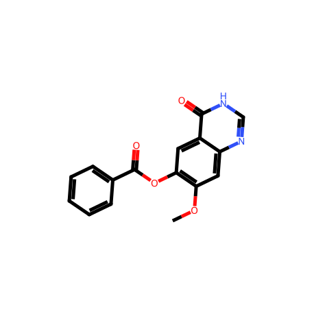 COc1cc2nc[nH]c(=O)c2cc1OC(=O)c1ccccc1